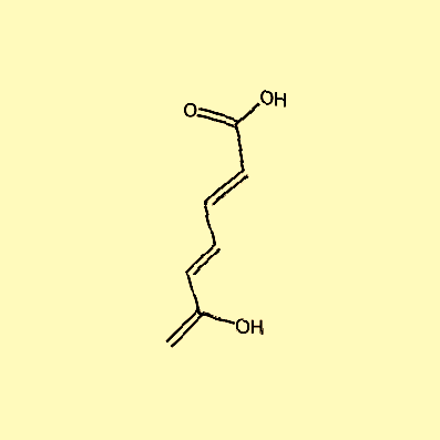 C=C(O)/C=C/C=C/C(=O)O